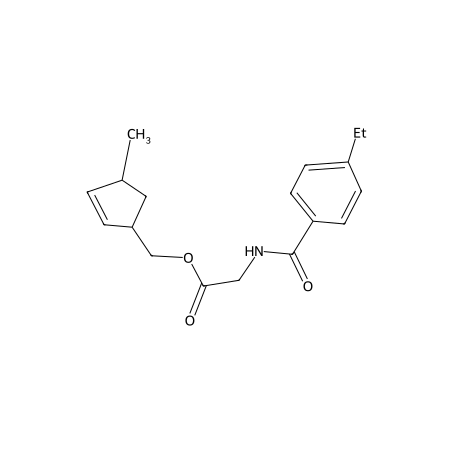 CCc1ccc(C(=O)NCC(=O)OCC2C=CC(C)C2)cc1